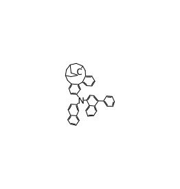 c1ccc(-c2ccc(N(c3ccc4c(c3)-c3ccccc3CC3CC5CC(C4)CC(C3)C5)c3ccc4ccccc4c3)c3ccccc23)cc1